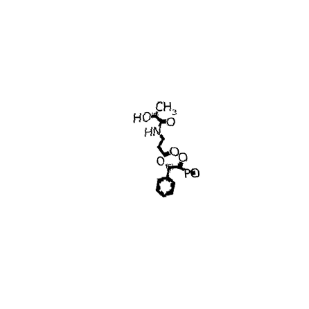 C[C@H](O)C(=O)NCCC(=O)O[C@H](C(=O)P=O)c1ccccc1